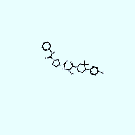 CC(C)[C@@H](NC(=O)[C@@H]1CCN(C(=O)Nc2ccccc2)C1)C(=O)N1CC[C@H](c2ccc(Cl)cc2)C(C)(C)C1